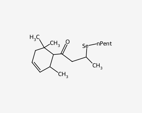 CCCCC[Se]C(C)CC(=O)C1C(C)C=CCC1(C)C